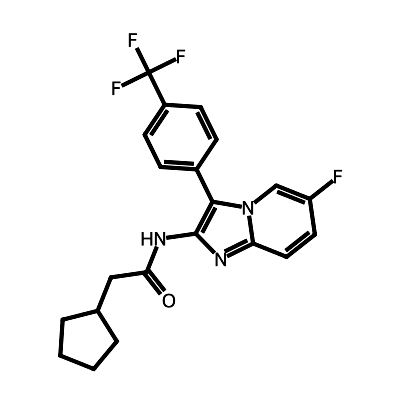 O=C(CC1CCCC1)Nc1nc2ccc(F)cn2c1-c1ccc(C(F)(F)F)cc1